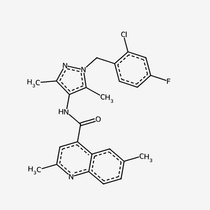 Cc1ccc2nc(C)cc(C(=O)Nc3c(C)nn(Cc4ccc(F)cc4Cl)c3C)c2c1